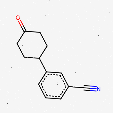 N#Cc1cccc(C2CCC(=O)CC2)c1